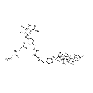 C[C@]12C=CC(=O)C=C1CC[C@@H]1[C@@H]2[C@@H](O)C[C@@]2(C)[C@H]1C[C@H]1OC(c3ccc(CC45CC(NC(=O)OCc6ccc(O[C@@H]7O[C@H](C(=O)O)[C@@H](O)[C@H](O)[C@H]7O)c(NC(=O)CCNC(=O)CON)c6)(C4)C5)cc3)O[C@]12C(=O)CO